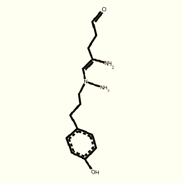 N/C(=C\N(N)CCCc1ccc(O)cc1)CCC=O